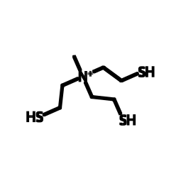 C[N+](CCS)(CCS)CCS